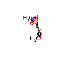 COc1ccc(OCCCC#CCB2OC(=O)CN(C)CC(=O)O2)cc1